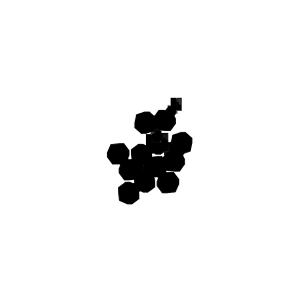 N#Cc1ccc2c(c1)c1ccccc1n2-c1nc(-c2cccc([Si](c3cccc(-c4ccccc4)c3)(c3cccc(-c4ccccc4)c3)c3cccc(-c4ccccc4)c3)c2)cc(-n2c3ccccc3c3ccccc32)n1